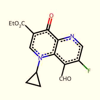 CCOC(=O)c1cn(C2CC2)c2c(C=O)c(F)cnc2c1=O